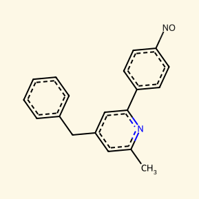 Cc1cc(Cc2ccccc2)cc(-c2ccc(N=O)cc2)n1